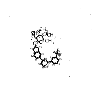 CO[C@@H]1[C@@H](OC)[C@H](C)O[C@@H](OC2Cc3ccc(-c4ccnc(-c5cccc(C(F)(F)F)c5)n4)cc3C2)[C@@H]1OC